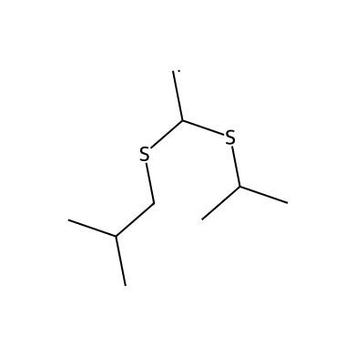 [CH2]C(SCC(C)C)SC(C)C